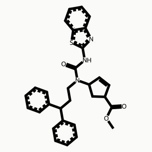 COC(=O)C1C=CC(N(CCC(c2ccccc2)c2ccccc2)C(=O)Nc2nc3ccccc3s2)C1